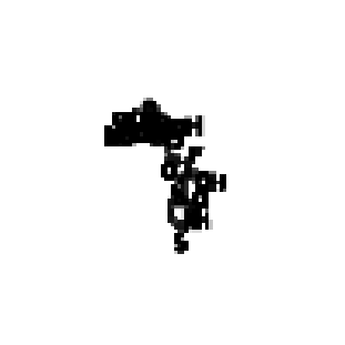 O=c1[nH]c(=S)ccn1[C@@H]1O[C@H](COP(=O)(O)OP(=O)(O)OP(=O)(O)O)C(F)[C@@H]1O